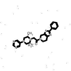 C[C@@H]1CN(c2cncnc2)C[C@H](C)N1CC(=O)N1CCc2nc(-c3ccccc3)sc2C1